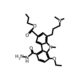 CCCOC(=O)c1cc(CCCN(C)C)c2c(c1)c1c(C(=O)NN)ccc(OCC)c1n2C